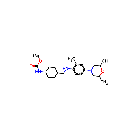 Cc1cc(N2CC(C)OC(C)C2)ccc1NCC1CCC(NC(=O)OC(C)(C)C)CC1